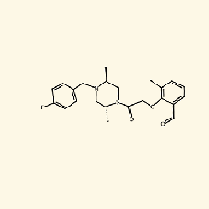 Cc1cccc(C=O)c1OCC(=O)N1C[C@H](C)N(Cc2ccc(F)cc2)C[C@H]1C